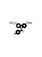 COc1ccc2c(c1)c1c(n2C(=O)c2ccc(F)cc2)CCC(C(=O)O)C1